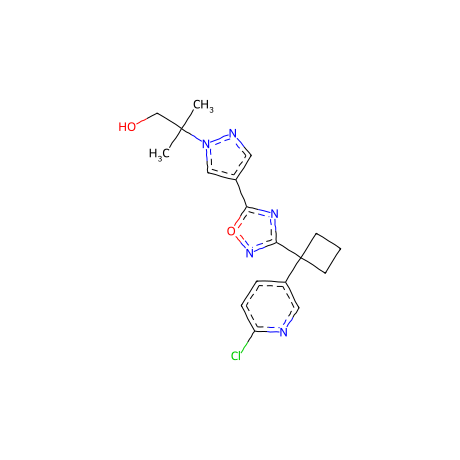 CC(C)(CO)n1cc(-c2nc(C3(c4ccc(Cl)nc4)CCC3)no2)cn1